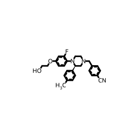 Cc1ccc([C@@H]2CN(Cc3ccc(C#N)cc3)CCN2c2ccc(OCCO)cc2F)cc1